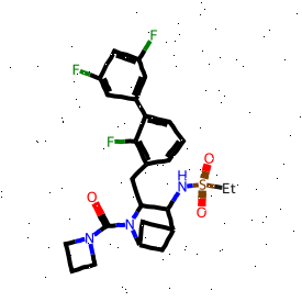 CCS(=O)(=O)NC1C2CC(C2)N(C(=O)N2CCC2)C1Cc1cccc(-c2cc(F)cc(F)c2)c1F